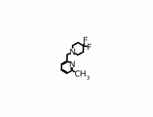 Cc1cccc(CN2CCC(F)(F)CC2)n1